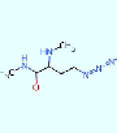 CNC(=O)C(CCN=[N+]=[N-])NC